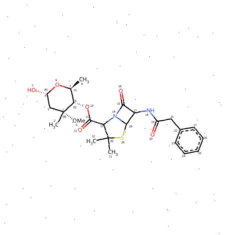 CO[C@]1(C)C[C@H](O)O[C@@H](C)[C@@H]1OC(=O)C1N2C(=O)C(NC(=O)Cc3ccccc3)C2SC1(C)C